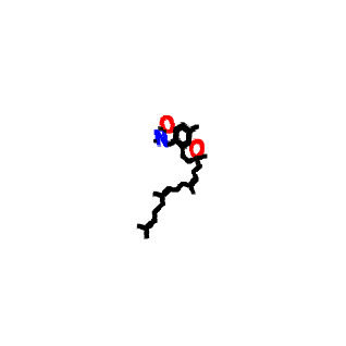 CC(C)=CCCC(C)=CCCC(C)=CCCC1(C)CCc2c3c(cc(C)c2O1)OCN(C)C3